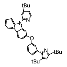 CC(C)(C)c1ccnc(-n2c3ccccc3c3ccc(Oc4cccc(-n5nc(C(C)(C)C)cc5C(C)(C)C)c4)cc32)c1